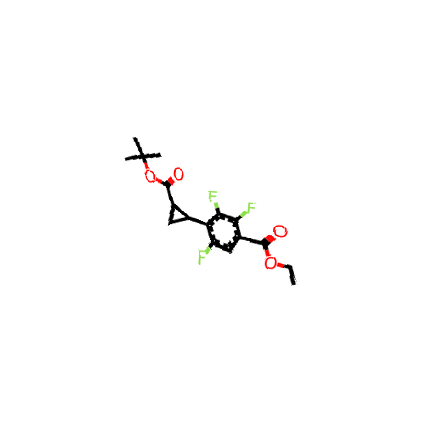 CCOC(=O)c1cc(F)c(C2CC2C(=O)OC(C)(C)C)c(F)c1F